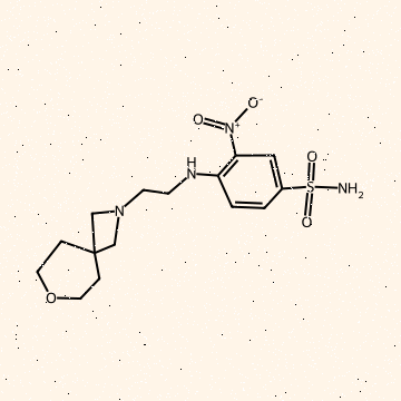 NS(=O)(=O)c1ccc(NCCN2CC3(CCOCC3)C2)c([N+](=O)[O-])c1